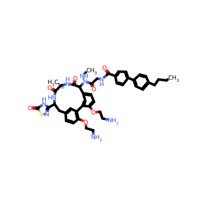 CCCCc1ccc(-c2ccc(C(=O)NCC(=O)N(NC)C3C(=O)N[C@@H](C)C(=O)NC(c4nsc(=O)[nH]4)Cc4ccc(OCCN)c(c4)-c4cc3ccc4OCCN)cc2)cc1